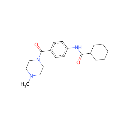 CN1CCN(C(=O)c2ccc(NC(=O)C3CCCCC3)cc2)CC1